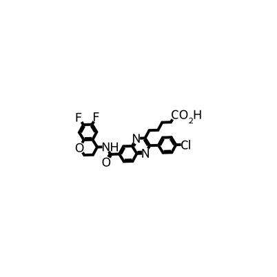 O=C(O)CCCCc1nc2cc(C(=O)NC3CCOc4cc(F)c(F)cc43)ccc2nc1-c1ccc(Cl)cc1